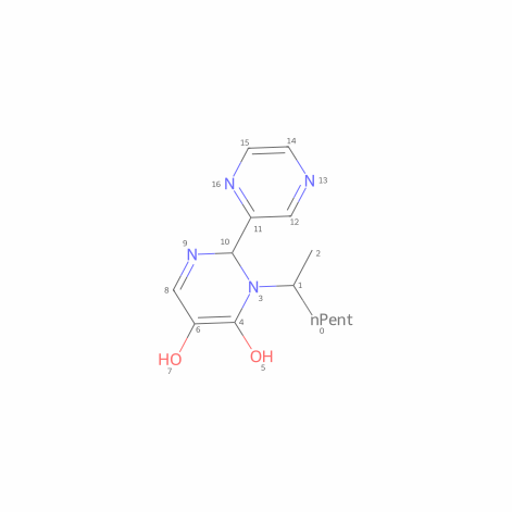 CCCCCC(C)N1C(O)=C(O)C=NC1c1cnccn1